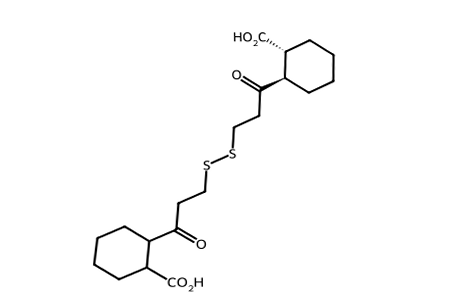 O=C(O)C1CCCCC1C(=O)CCSSCCC(=O)[C@@H]1CCCC[C@H]1C(=O)O